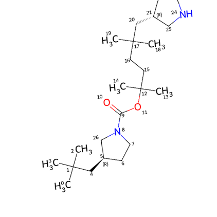 CC(C)(C)C[C@@H]1CCN(C(=O)OC(C)(C)CCC(C)(C)C[C@@H]2CCNC2)C1